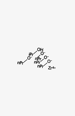 CC(C)O.CCC[O-].CCC[O-].CCC[O-].CCC[O-].[Zr+4]